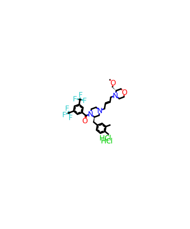 COC[C@@H]1COCCN1CC=CCN1CCN(C(=O)c2cc(C(F)(F)F)cc(C(F)(F)F)c2)[C@H](Cc2ccc(C)c(C)c2)C1.Cl.Cl